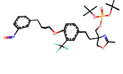 CC1=NC(CCc2ccc(OCCCc3cccc(N=O)c3)c(C(F)(F)F)c2)(COP(=O)(OC(C)(C)C)OC(C)(C)C)CO1